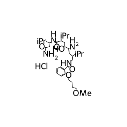 COCCCCOc1ccccc1C(=O)NCC(CC(N)C(O)CC(C(=O)NC(CC(N)=O)C(C)C)C(C)C)C(C)C.Cl